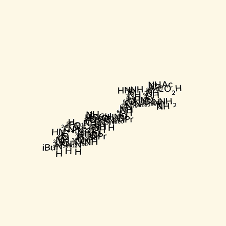 CCC(C)[C@@H](CNCC(=O)N[C@H](CNCC(=O)N[C@H](CNCC(N)=O)CC(C)C)CC(C)C)NC(=O)CNC[C@H](CCCN)NC(=O)CNC[C@H](CC(C)C)NC(=O)CNC[C@@H](NC(=O)CNC[C@H](CC(C)C)NC(=O)CNC[C@H](CCCNC(=N)N)NC(=O)CNC[C@H](CCCNC(=N)N)NC(=O)CNC[C@H](CCC(=O)O)NC(C)=O)C(C)O